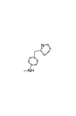 CNc1ccc(Cc2cc[c]cn2)cc1